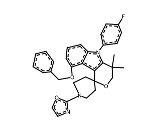 CC1(C)COC2(CCN(c3ncco3)CC2)c2c1n(-c1ccc(F)cc1)c1cccc(OCc3ccccc3)c21